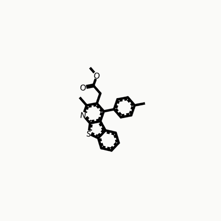 COC(=O)Cc1c(C)nc2sc3ccccc3c2c1-c1ccc(C)cc1